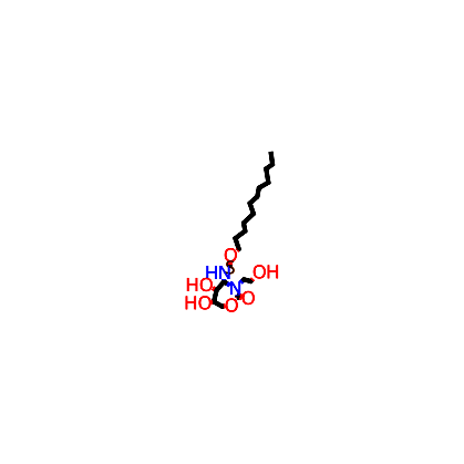 CCCCCCCCCCCCOSNC1C(O)C(O)COC(=O)N1CCO